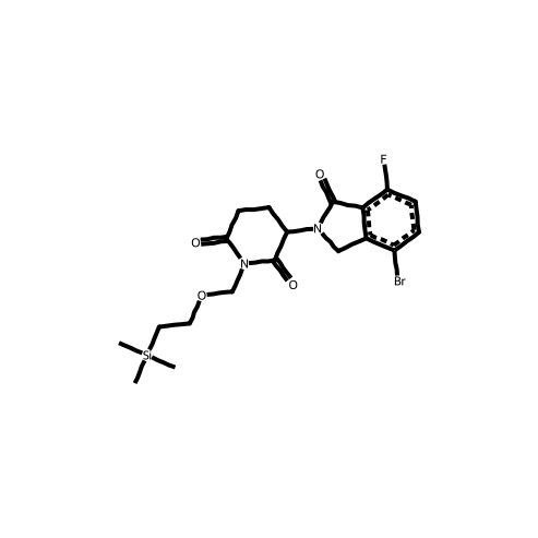 C[Si](C)(C)CCOCN1C(=O)CCC(N2Cc3c(Br)ccc(F)c3C2=O)C1=O